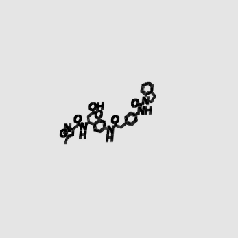 Cc1cc(C(=O)NC(CC(=O)O)c2ccc(NC(=O)Cc3ccc(NC(=O)N4CCc5ccccc54)cc3)cc2)no1